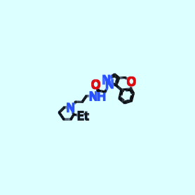 CCC1CCCCN1CCCNC(=O)Cn1ncc2c1-c1ccccc1OC2